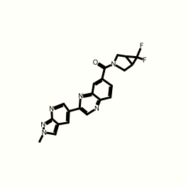 Cn1cc2cc(-c3cnc4ccc(C(=O)N5CC6C(C5)C6(F)F)cc4n3)cnc2n1